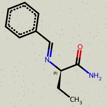 CC[C@@H](N=Cc1ccccc1)C(N)=O